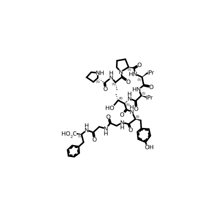 CC(C)[C@H](NC(=O)[C@@H](NC(=O)[C@@H]1CCCN1C(=O)[C@H](C)NC(=O)[C@@H]1CCCN1)C(C)C)C(=O)N[C@H](C(=O)N[C@@H](Cc1ccc(O)cc1)C(=O)NCC(=O)NCC(=O)N[C@@H](Cc1ccccc1)C(=O)O)[C@@H](C)O